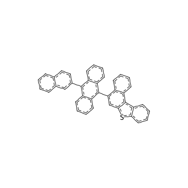 c1ccc2cc(-c3c4ccccc4c(-c4cc5sc6ccccc6c5c5ccccc45)c4ccccc34)ccc2c1